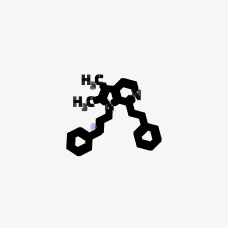 Cc1c(C)n(C/C=C/c2ccccc2)c2c(CCc3ccccc3)nccc12